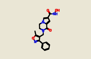 Cc1onc(-c2ccccc2)c1CN1CCn2cc(C(=O)NO)cc2C1=O